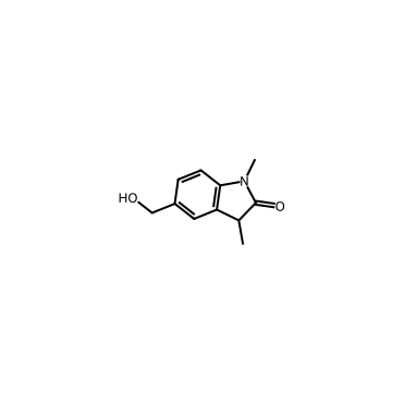 CC1C(=O)N(C)c2ccc(CO)cc21